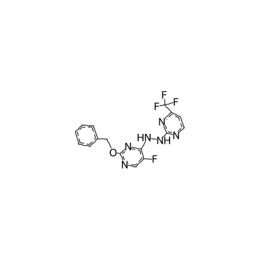 Fc1cnc(OCc2ccccc2)nc1NNc1nccc(C(F)(F)F)n1